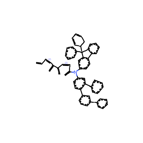 C=C/C=C\C(=C)C(=C)/C=C\C(=C)N(c1ccc(-c2cccc(-c3ccccc3)c2)c(-c2ccccc2)c1)c1ccc2c(c1)C(c1ccccc1)(C1C=CC=CC1)c1ccccc1-2